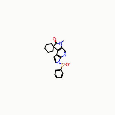 CN1C(=O)C2(CCCCC2)c2c1cnc1c2ccn1[S+]([O-])c1ccccc1